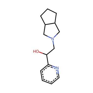 OC(CN1CC2CCCC2C1)c1ccccn1